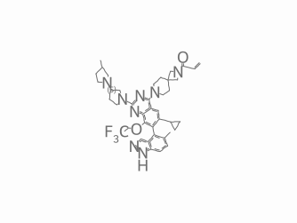 C=CC(=O)N1CC2(CCN(c3nc(N4CC[C@H](N5CCC(C)C5)C4)nc4c(OCC(F)(F)F)c(-c5c(C)ccc6[nH]ncc56)c(C5CC5)cc34)CC2)C1